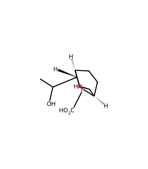 CC(O)[C@H]1NC[C@H]2CC[C@@H]1CN2C(=O)O